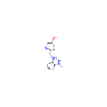 CNc1ccccc1NCc1ccc(OC)cn1